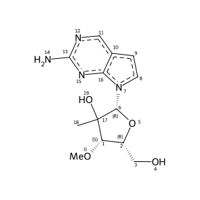 CO[C@H]1[C@@H](CO)O[C@@H](n2ccc3cnc(N)nc32)C1(C)O